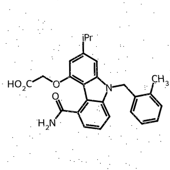 Cc1ccccc1Cn1c2cc(C(C)C)cc(OCC(=O)O)c2c2c(C(N)=O)cccc21